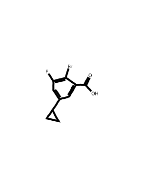 O=C(O)c1cc(C2CC2)cc(F)c1Br